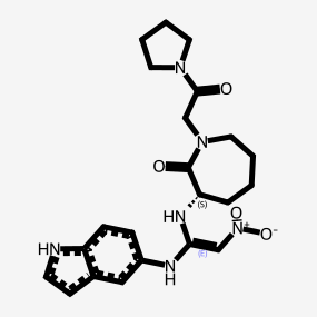 O=C(CN1CCCC[C@H](N/C(=C\[N+](=O)[O-])Nc2ccc3[nH]ccc3c2)C1=O)N1CCCC1